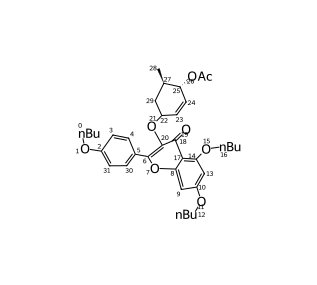 CCCCOc1ccc(-c2oc3cc(OCCCC)cc(OCCCC)c3c(=O)c2OC2C=C[C@@H](OC(C)=O)[C@H](C)C2)cc1